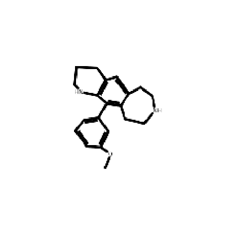 COc1cccc(-c2c3c(cc4c2NCCC4)CCNCC3)c1